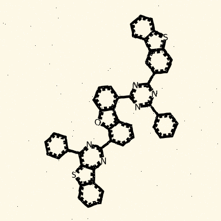 c1ccc(-c2nc(-c3ccc4sc5ccccc5c4c3)nc(-c3cccc4oc5c(-c6nc(-c7ccccc7)c7sc8ccccc8c7n6)cccc5c34)n2)cc1